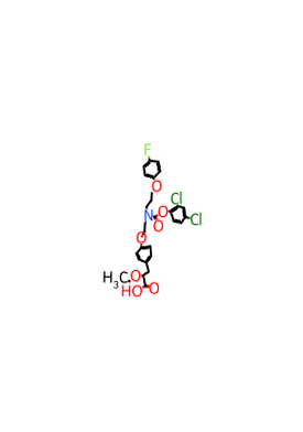 CCOC(Cc1ccc(OCCN(CCCOc2ccc(F)cc2)C(=O)Oc2ccc(Cl)cc2Cl)cc1)C(=O)O